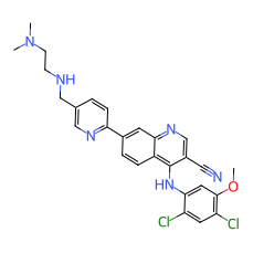 COc1cc(Nc2c(C#N)cnc3cc(-c4ccc(CNCCN(C)C)cn4)ccc23)c(Cl)cc1Cl